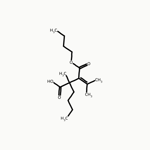 CCCCOC(=O)C(=C(C)C)C(C)(CCCC)C(=O)O